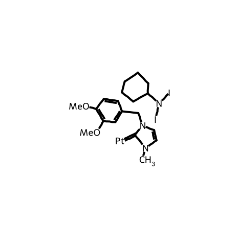 COc1ccc(Cn2ccn(C)[c]2=[Pt])cc1OC.IN(I)C1CCCCC1